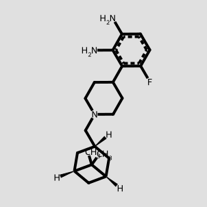 CC1(C)[C@@H]2C[C@@H](CN3CCC(c4c(F)ccc(N)c4N)CC3)C[C@H]1C2